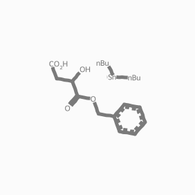 CCC[CH2][Sn][CH2]CCC.O=C(O)CC(O)C(=O)OCc1ccccc1